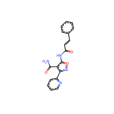 NC(=O)c1c(-c2ccccn2)noc1NC(=O)C=Cc1ccccc1